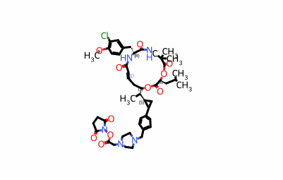 COc1ccc(C[C@H]2NC(=O)/C=C/C[C@@H](C(C)[C@H]3CC3c3ccc(CN4CCN(CC(=O)ON5C(=O)CCC5=O)CC4)cc3)OC(=O)[C@H](CC(C)C)OC(=O)C(C)(C)CNC2=O)cc1Cl